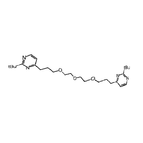 CC(C)(C)c1nccc(CCCOCCOCCOCCCc2ccnc(C(C)(C)C)n2)n1